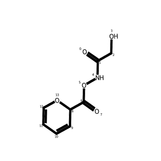 O=C(CO)NOC(=O)C1C=CC=CO1